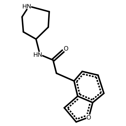 O=C(Cc1cccc2occc12)NC1CCNCC1